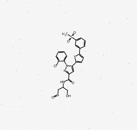 CS(=O)(=O)c1cccc(-c2ccc(-c3cc(C(=O)NC(CO)CN=O)nn3-c3ccccc3Cl)s2)c1